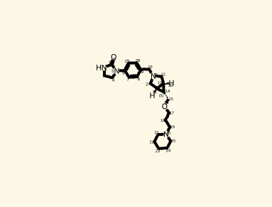 O=C1NCCN1c1ccc(CN2C[C@@H]3[C@H](COCCCN4CCCCC4)[C@@H]3C2)cc1